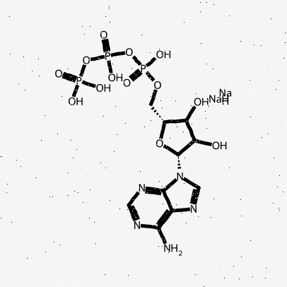 Nc1ncnc2c1ncn2[C@@H]1O[C@H](COP(=O)(O)OP(=O)(O)OP(=O)(O)O)C(O)C1O.[NaH].[NaH]